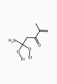 C=C(C)C(=O)CC([SiH3])(OCC)OCC